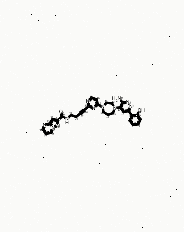 Nc1nnc(-c2ccccc2O)cc1N1CCCN(c2ccnc(C#CCCNC(=O)c3cc4ncccn4n3)n2)CC1